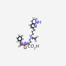 O=C(O)C(CCN(CCCCc1ccc2c(n1)NCCC2)C1CC1)NC(=O)C1CC1c1ccccc1